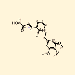 COc1cc(CCn2cccc(/C=C/C(=O)NO)c2=O)cc(OC)c1OC